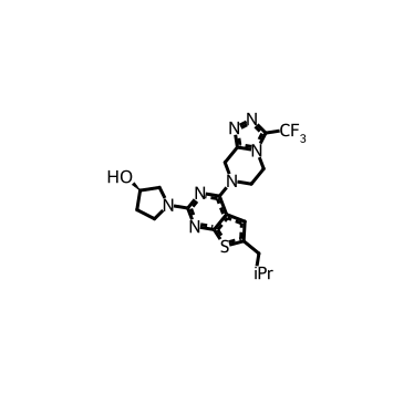 CC(C)Cc1cc2c(N3CCn4c(nnc4C(F)(F)F)C3)nc(N3CC[C@@H](O)C3)nc2s1